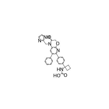 O=C(O)NC1(c2ccc(-c3nc4c(cc3-c3ccccc3)N(Cc3ncc[nH]3)C(=O)CO4)cc2)CCC1